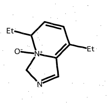 CCC1=C2C=NC[N+]2([O-])C(CC)C=C1